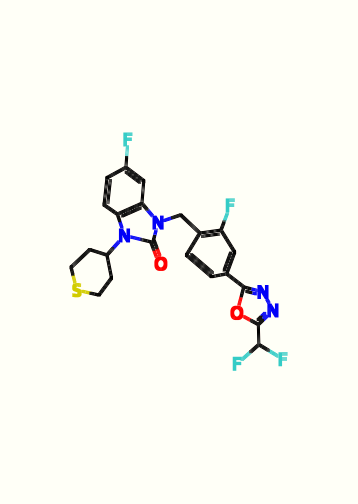 O=c1n(Cc2ccc(-c3nnc(C(F)F)o3)cc2F)c2cc(F)ccc2n1C1CCSCC1